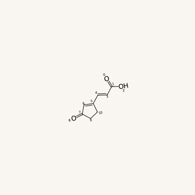 O=C(O)/C=C/C1=CC(=O)CC1